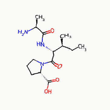 CC[C@H](C)[C@@H](NC(=O)[C@H](C)N)C(=O)N1CCC[C@H]1C(=O)O